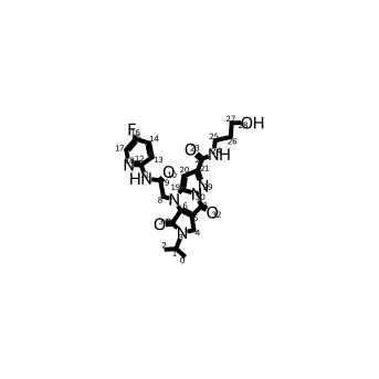 CC(C)N1Cc2c(n(CC(=O)Nc3ccc(F)cn3)c3cc(C(=O)NCCCO)nn3c2=O)C1=O